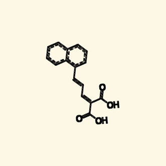 O=C(O)C(=CC=Cc1cccc2ccccc12)C(=O)O